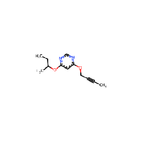 CC#CCOc1cc(OC(C)CC)ncn1